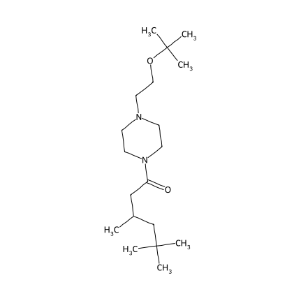 CC(CC(=O)N1CCN(CCOC(C)(C)C)CC1)CC(C)(C)C